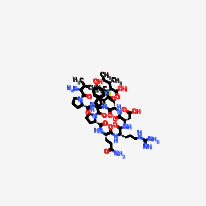 CC[C@H](C)[C@H](NC(=O)[C@@H]1CCCN1C(=O)[C@H](CCSC)NC(=O)[C@H](CC(=O)O)NC(=O)[C@H](CCCNC(=N)N)NC(=O)[C@H](CCC(N)=O)NC(=O)[C@@H]1CCCN1C(=O)[C@H](Cc1ccc(O)cc1)NC(=O)[C@@H]1CCCN1C(=O)[C@@H](N)C(C)C)C(=O)O